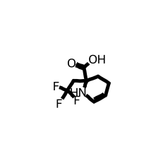 O=C(O)C1(CC(F)(F)F)CCC=CN1